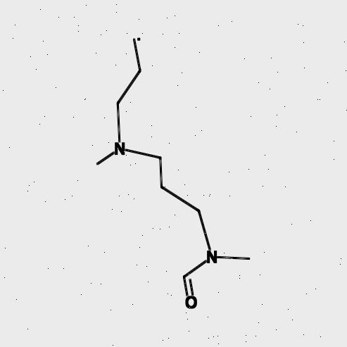 [CH2]CCN(C)CCCN(C)C=O